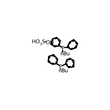 CCCCP(c1ccccc1)c1ccccc1.CCCCP(c1ccccc1)c1ccccc1.O=S(=O)(O)O